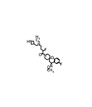 CCN(CCC(F)C(=O)N1CCC2(CC1)C/C(=N\OC)c1cc(F)ccc1O2)CC1CNC1